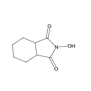 O=C1C2CCCCC2C(=O)N1O